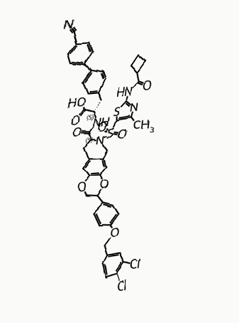 Cc1nc(NC(=O)C2CCC2)sc1S(=O)(=O)N1Cc2cc3c(cc2C[C@H]1C(=O)N[C@@H](Cc1ccc(-c2ccc(C#N)cc2)cc1)C(=O)O)OCC(c1ccc(OCc2ccc(Cl)c(Cl)c2)cc1)O3